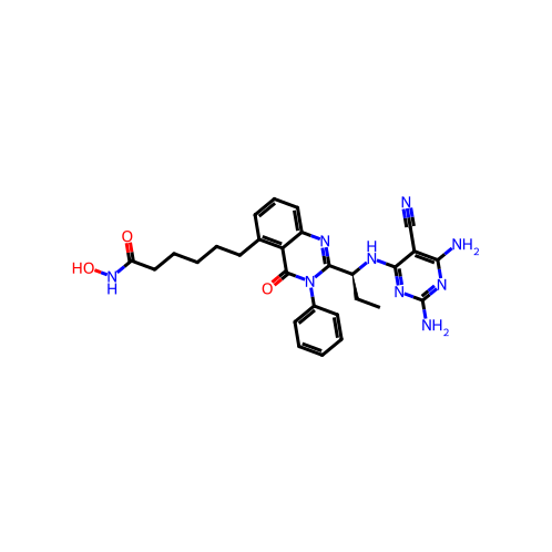 CC[C@H](Nc1nc(N)nc(N)c1C#N)c1nc2cccc(CCCCCC(=O)NO)c2c(=O)n1-c1ccccc1